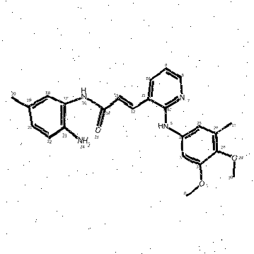 COc1cc(Nc2ncccc2/C=C/C(=O)Nc2cc(C)ccc2N)cc(C)c1OC